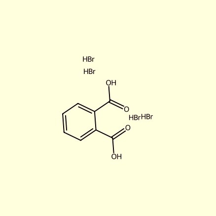 Br.Br.Br.Br.O=C(O)c1ccccc1C(=O)O